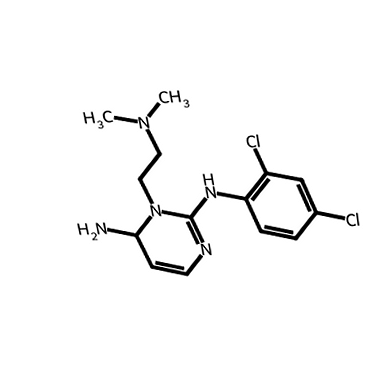 CN(C)CCN1C(Nc2ccc(Cl)cc2Cl)=NC=CC1N